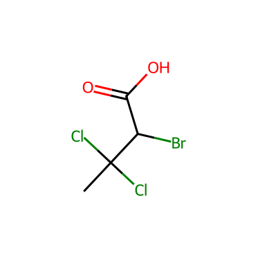 CC(Cl)(Cl)C(Br)C(=O)O